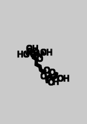 O=C(CCCC(CON(O)O)ON(O)O)OC1CO[C@H]2[C@@H]1OC[C@@H]2O